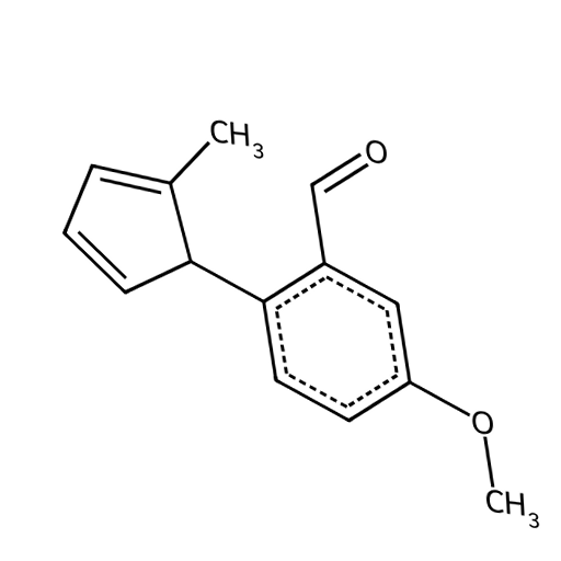 COc1ccc(C2C=CC=C2C)c(C=O)c1